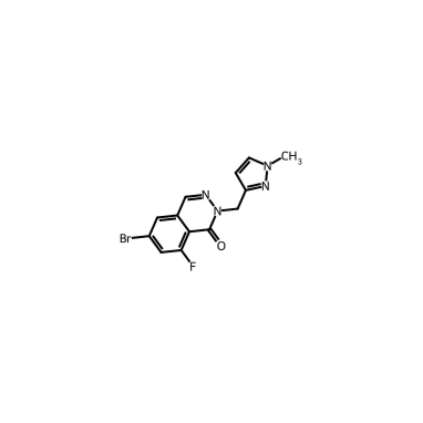 Cn1ccc(Cn2ncc3cc(Br)cc(F)c3c2=O)n1